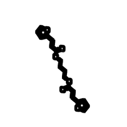 O=C(/C=C/c1ccco1)OCCCCOC(=O)/C=C/c1ccco1